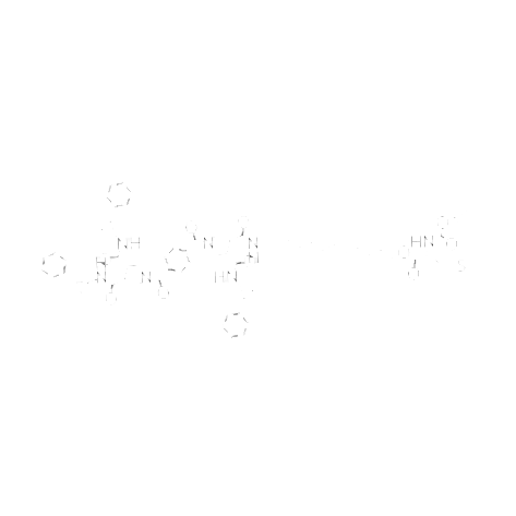 CSCC[C@H](NC(=O)OC(C)(C)C)C(=O)OCCCCCCCCCCCCNC(=O)[C@@H]1CN(C(=O)c2ccc(C(=O)N3C[C@@H](C(=O)N[C@H]4C[C@@H]4c4ccccc4)[C@H](C(=O)N[C@H]4C[C@@H]4c4ccccc4)C3)cc2)C[C@H]1C(=O)N[C@H]1C[C@@H]1c1ccccc1